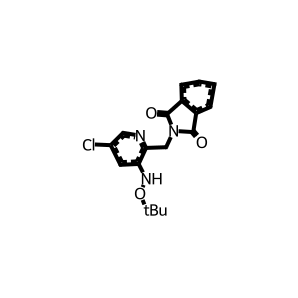 CC(C)(C)ONc1cc(Cl)cnc1CN1C(=O)c2ccccc2C1=O